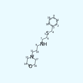 c1ccc(CSCCNCCCN2CCOCC2)cc1